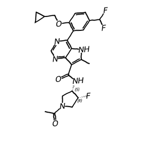 CC(=O)N1C[C@@H](F)[C@@H](NC(=O)c2c(C)[nH]c3c(-c4cc(C(F)F)ccc4OCC4CC4)ncnc23)C1